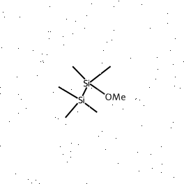 CO[Si](C)(C)[Si](C)(C)C